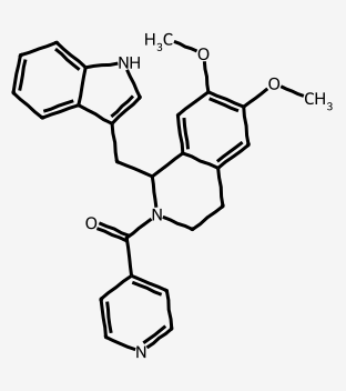 COc1cc2c(cc1OC)C(Cc1c[nH]c3ccccc13)N(C(=O)c1ccncc1)CC2